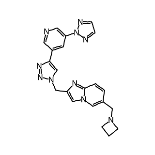 c1cnn(-c2cncc(-c3cn(Cc4cn5cc(CN6CCC6)ccc5n4)nn3)c2)n1